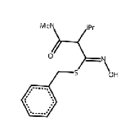 CNC(=O)C(/C(=N/O)SCc1ccccc1)C(C)C